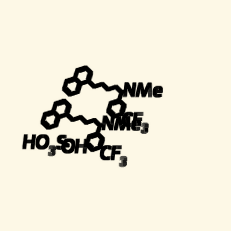 CNC(CCCCc1cccc2ccccc12)c1cccc(C(F)(F)F)c1.CNC(CCCCc1cccc2ccccc12)c1cccc(C(F)(F)F)c1.O=S(=O)(O)O